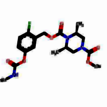 CCCCNC(=O)Oc1ccc(F)c(COC(=O)N2[C@H](C)CN(C(=O)OC(C)(C)C)C[C@@H]2C)c1